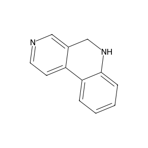 c1ccc2c(c1)NCc1cnccc1-2